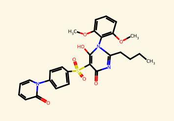 CCCCc1nc(=O)c(S(=O)(=O)c2ccc(-n3ccccc3=O)cc2)c(O)n1-c1c(OC)cccc1OC